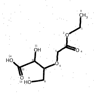 CCOC(=O)COC(CO)C(O)C(=O)O